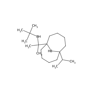 CC(C)C12BC(C(C)(C)BC(C)(C)C)(CCCC1)CCCC2